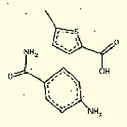 Cc1ccc(C(=O)O)s1.NC(=O)c1ccc(N)cc1